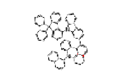 c1ccc(N(c2ccccc2-c2ccccc2-c2ccc3c4ccccc4n(-c4cccc5c4-c4ccccc4C5(c4ccccc4)c4ccccc4)c3c2)c2cccc3ccccc23)cc1